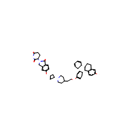 O=C1CCC(N2Cc3cc(O[C@H]4C[C@@H](N5CCC(CCOC6=CCC([C@@H]7c8ccc(O)cc8CC[C@@H]7C7C=CC=CC7)C=C6)CC5)C4)ccc3C2=O)C(=O)N1